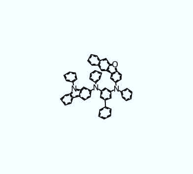 c1ccc(-c2cc(N(c3ccccc3)c3ccc4oc5cc6ccccc6cc5c4c3)cc(N(c3ccccc3)c3ccc4c5ccccc5n(-c5ccccc5)c4c3)c2)cc1